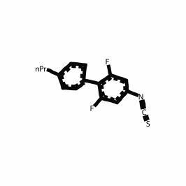 CCCc1ccc(-c2c(F)cc(N=C=S)cc2F)cc1